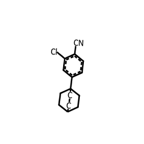 N#Cc1ccc(C23CCC(CC2)CC3)cc1Cl